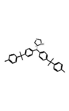 Cc1ccc(C(C)(C)c2ccc(C(c3ccc(C(C)(C)c4ccc(C)cc4)cc3)[C@@H]3CSCN3)cc2)cc1